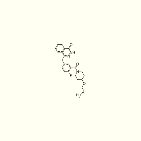 C=CCOC1CCN(C(=O)c2cc(Cc3n[nH]c(=O)c4ccccc34)ccc2F)CC1